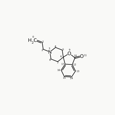 C=CCN1CCC2(CC1)OC(=O)c1ccccc12